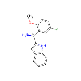 COc1ccc(F)cc1[C@H](N)c1cc2ccccc2[nH]1